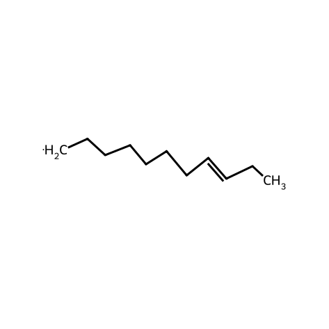 [CH2]CCCCCCC=CCC